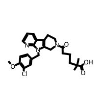 COc1ccc(Cn2c3c(c4cccnc42)CCN(C(=O)CCCC(C)(C)C(=O)O)C3)cc1Cl